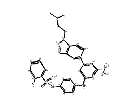 CN(C)CCn1ncc2cc(-c3cc(Nc4ccc(NS(=O)(=O)c5ccccc5F)cc4)ncn3)ccc21.O=CO